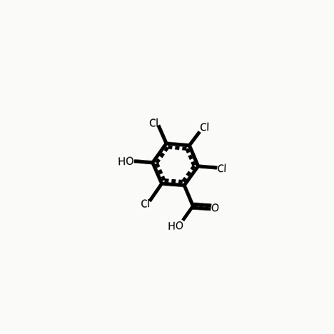 O=C(O)c1c(Cl)c(O)c(Cl)c(Cl)c1Cl